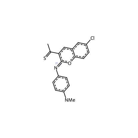 CNc1ccc(/N=c2\oc3ccc(Cl)cc3cc2C(C)=S)cc1